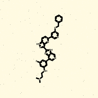 CN(C)CCNc1cc(F)cc(-c2cncc3[nH]c(-c4n[nH]c5ccc(-c6cncc(OCc7ccccc7)c6)nc45)nc23)c1